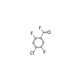 O=C(F)c1cc(F)c(Cl)cc1F